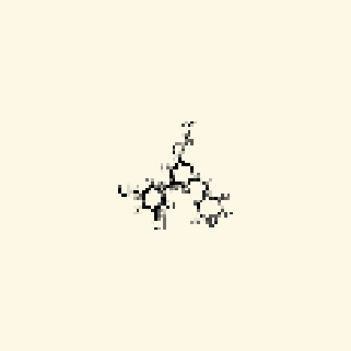 COCOc1cc(CN2CCOCC2)cc(-c2cc(Cl)cc(Cl)c2)c1